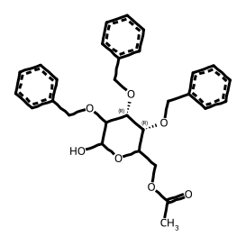 CC(=O)OCC1OC(O)C(OCc2ccccc2)[C@H](OCc2ccccc2)[C@@H]1OCc1ccccc1